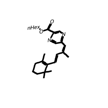 CCCCCCOC(=O)c1cnc(C=C(C)C=CC2=C(C)CCCC2(C)C)cn1